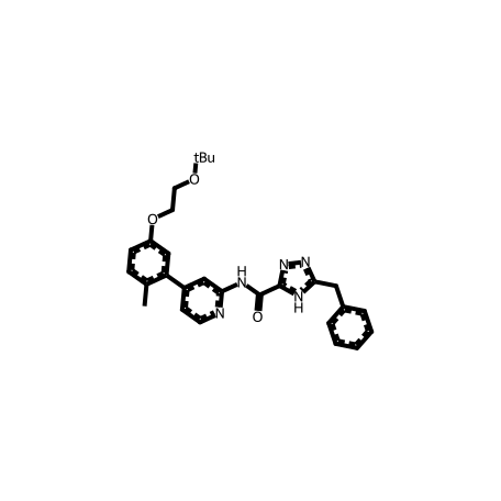 Cc1ccc(OCCOC(C)(C)C)cc1-c1ccnc(NC(=O)c2nnc(Cc3ccccc3)[nH]2)c1